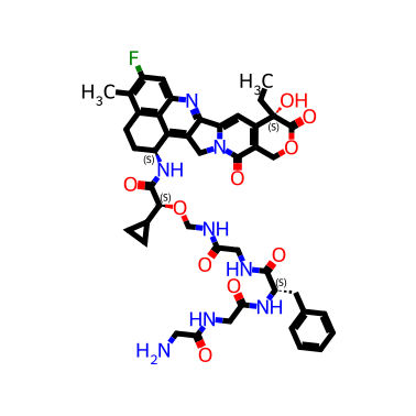 CC[C@@]1(O)C(=O)OCc2c1cc1n(c2=O)Cc2c-1nc1cc(F)c(C)c3c1c2[C@@H](NC(=O)[C@@H](OCNC(=O)CNC(=O)[C@H](Cc1ccccc1)NC(=O)CNC(=O)CN)C1CC1)CC3